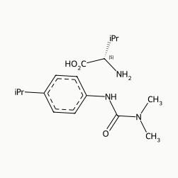 CC(C)[C@H](N)C(=O)O.CC(C)c1ccc(NC(=O)N(C)C)cc1